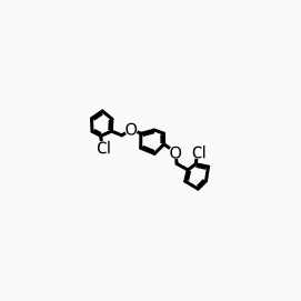 Clc1ccccc1COc1ccc(OCc2ccccc2Cl)cc1